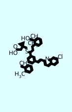 C=Cc1ccccc1C.CC(C)(O)c1ccccc1CCC(SCC1(CC(=O)O)CC1)c1cccc(/C=C/c2ccc3ccc(Cl)cc3n2)c1